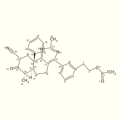 CC(=O)OCCc1cccc(-c2nc(C)nc3c2CC[C@H]2[C@H](C)C(=O)C(C#N)C[C@]32c2ccccc2)c1